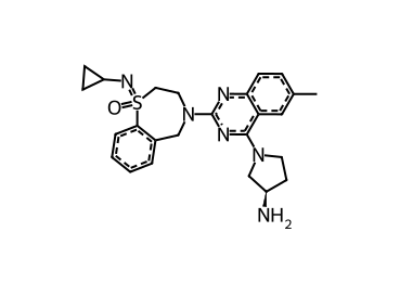 Cc1ccc2nc(N3CCS(=O)(=NC4CC4)c4ccccc4C3)nc(N3CC[C@@H](N)C3)c2c1